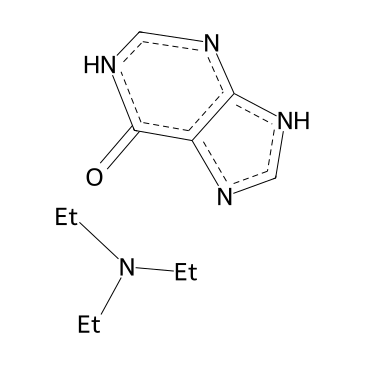 CCN(CC)CC.O=c1[nH]cnc2[nH]cnc12